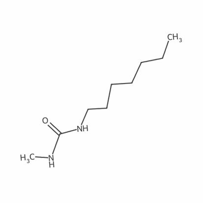 CCCCCCCNC(=O)NC